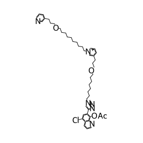 CC(=O)Oc1c(-c2cn(CCCCCCCCOCCCc3ccc[n+](CCCCCCCCCCOCCCc4cccnc4)c3)nn2)cc(Cl)c2cccnc12